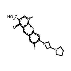 Cn1cc(C(=O)O)c(=O)c2cc3cc(F)c(N4CC(N5CCCC5)C4)cc3nc21